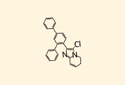 Clc1c(-c2ccc(-c3ccccc3)cc2-c2ccccc2)nc2n1CCC=C2